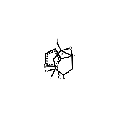 Cn1nccc1[C@@]12CCC(F)(F)C[C@@H]1O2